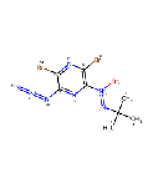 CC(C)(C)N=[N+]([O-])c1nc(N=[N+]=[N-])c(Br)nc1Br